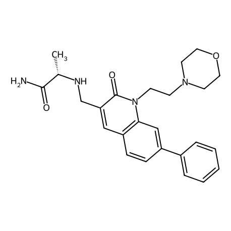 C[C@H](NCc1cc2ccc(-c3ccccc3)cc2n(CCN2CCOCC2)c1=O)C(N)=O